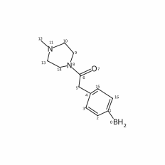 Bc1ccc(CC(=O)N2CCN(C)CC2)cc1